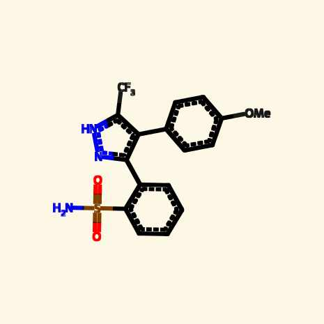 COc1ccc(-c2c(-c3ccccc3S(N)(=O)=O)n[nH]c2C(F)(F)F)cc1